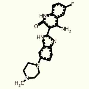 CN1CCN(c2ccc3nc(-c4c(N)c5cc(F)ccc5[nH]c4=O)[nH]c3c2)CC1